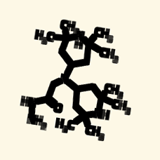 CC1(C)CC(N(CC(=O)NN)C2CC(C)(C)NC(C)(C)C2)CC(C)(C)N1